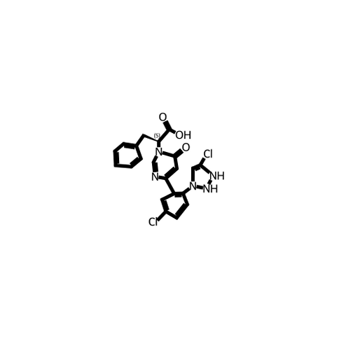 O=C(O)[C@H](Cc1ccccc1)n1cnc(-c2cc(Cl)ccc2N2C=C(Cl)NN2)cc1=O